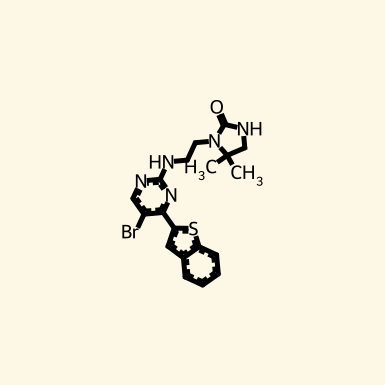 CC1(C)CNC(=O)N1CCNc1ncc(Br)c(-c2cc3ccccc3s2)n1